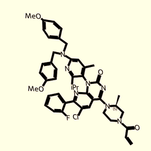 C=CC(=O)N1CCN(c2nc(=O)n(-c3c(C)cc(N(Cc4ccc(OC)cc4)Cc4ccc(OC)cc4)nc3C(C)C)c3nc(-c4ccccc4F)c(Cl)cc23)[C@@H](C)C1